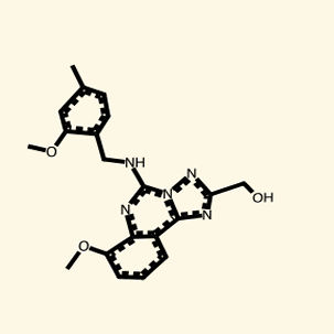 COc1cc(C)ccc1CNc1nc2c(OC)cccc2c2nc(CO)nn12